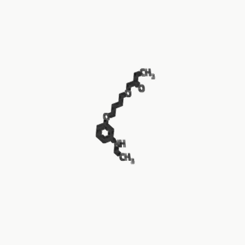 CCNc1cccc(OCCCCOCC(=O)CC)c1